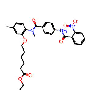 CCOC(=O)CCCCCOc1cc(C)ccc1N(C)C(=O)c1ccc(NC(=O)c2ccccc2[N+](=O)[O-])cc1